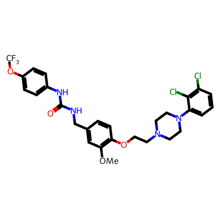 COc1cc(CNC(=O)Nc2ccc(OC(F)(F)F)cc2)ccc1OCCN1CCN(c2cccc(Cl)c2Cl)CC1